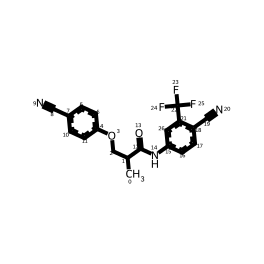 CC(COc1ccc(C#N)cc1)C(=O)Nc1ccc(C#N)c(C(F)(F)F)c1